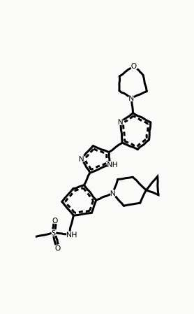 CS(=O)(=O)Nc1ccc(-c2ncc(-c3cccc(N4CCOCC4)n3)[nH]2)c(N2CCC3(CC2)CC3)c1